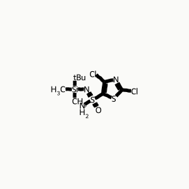 CC(C)(C)[Si](C)(C)N=S(N)(=O)c1sc(Cl)nc1Cl